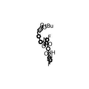 CC(C)(C)OC(=O)N1CCN(Cc2ccc(-c3cccc(-n4c(=O)n([C@H]5CC[C@@H](NC(=O)c6cn7cc(F)ccc7n6)CC5)c(=O)c5cc(F)cnc54)c3)cc2)CC1